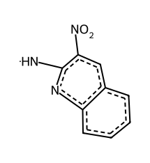 [NH]c1nc2ccccc2cc1[N+](=O)[O-]